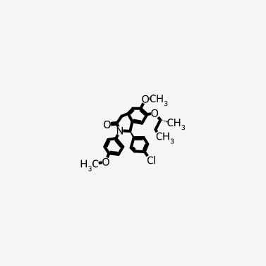 CC[C@@H](C)Oc1cc2c(cc1OC)CC(=O)N(c1ccc(OC)cc1)[C@@H]2c1ccc(Cl)cc1